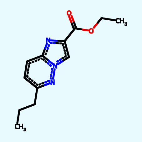 CCCc1ccc2nc(C(=O)OCC)cn2n1